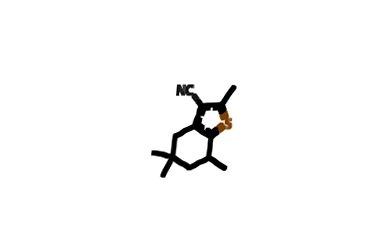 Cc1sc2c(c1C#N)CC(C)(C)CC2C